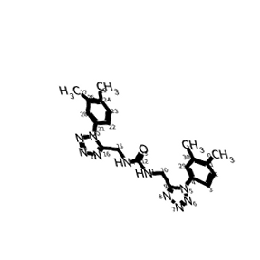 Cc1ccc(-n2nnnc2CNC(=O)NCc2nnnn2-c2ccc(C)c(C)c2)cc1C